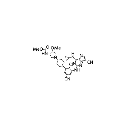 COC(=O)N[C@H]1CN(C2CCN(c3cc(C#N)cc(Nc4nc(NC5CC5)c5ncc(C#N)n5n4)c3Cl)CC2)C[C@@H]1OC